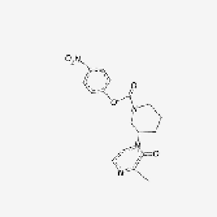 Cc1nccn(C2CCCN(C(=O)Oc3ccc([N+](=O)[O-])cc3)C2)c1=O